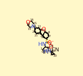 CC(C)CC(N[S+]([O-])c1ccc2oc3cc(N4CCOCC4)ccc3c2c1)C(=O)NC1(C#N)CC1